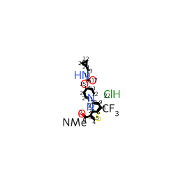 CNC(=O)c1csc2c(C(F)(F)F)cc(N3CCC(OC(=O)NCC4CC4)CC3)nc12.Cl